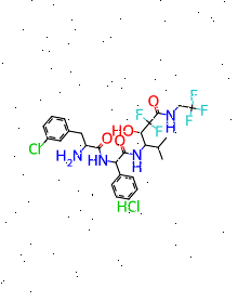 CC(C)C(NC(=O)C(NC(=O)C(N)Cc1cccc(Cl)c1)c1ccccc1)C(O)C(F)(F)C(=O)NCC(F)(F)F.Cl